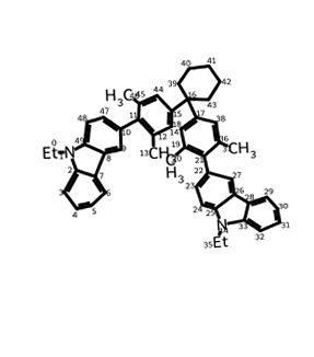 CCn1c2ccccc2c2cc(-c3c(C)cc(C4(c5cc(C)c(-c6ccc7c(c6)c6ccccc6n7CC)c(C)c5)CCCCC4)cc3C)ccc21